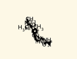 Cc1nc(C)c(C(=O)Nc2cc(Oc3ccc4nc(NC(=O)C5CC5)cn4n3)ccc2C)o1